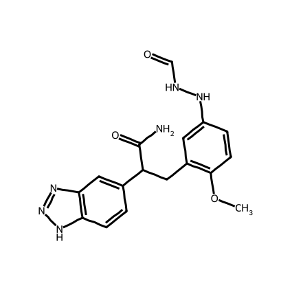 COc1ccc(NNC=O)cc1CC(C(N)=O)c1ccc2[nH]nnc2c1